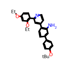 CCOc1ccc(-c2cc(-c3ccc(-c4ccc(OC(C)(C)C)cc4)cc3N)ccn2)c(OCC)c1